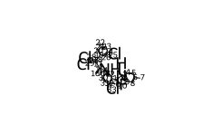 C=C(Nc1ccc(C)cc1F)c1cc(NC(=C)C2C(c3cc(C)cc(Cl)c3)C2(Cl)Cl)ccc1Cl